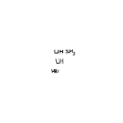 Br.S.[LiH].[LiH]